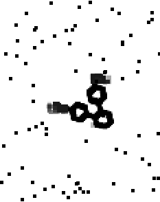 CC(C)(C)c1ccc(-c2[c]cccc2-c2ccc(C(C)(C)C)cc2)cc1